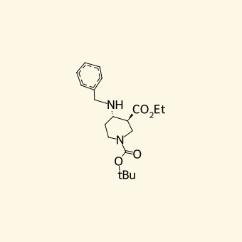 CCOC(=O)[C@H]1CN(C(=O)OC(C)(C)C)CC[C@@H]1NCc1ccccc1